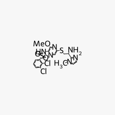 COc1nc(SCC(N)c2nccn2C)cnc1NS(=O)(=O)c1cccc(Cl)c1Cl